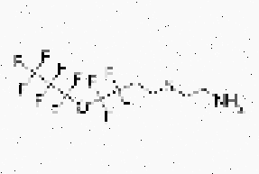 NCCSCCC(F)(F)C(F)(F)OC(F)(F)C(F)(F)C(F)(F)F